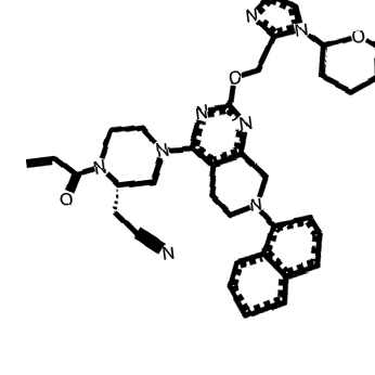 C=CC(=O)N1CCN(c2nc(OCc3nccn3C3CCCCO3)nc3c2CCN(c2cccc4ccccc24)C3)C[C@@H]1CC#N